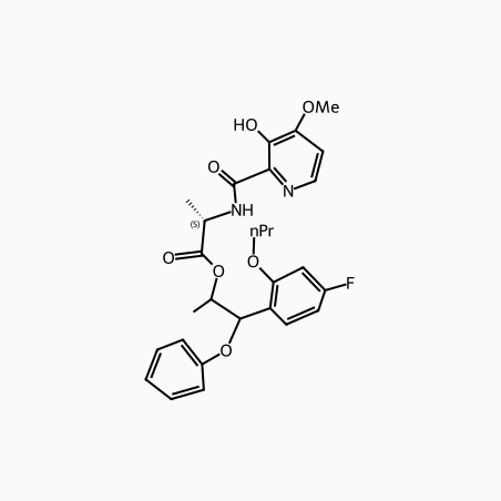 CCCOc1cc(F)ccc1C(Oc1ccccc1)C(C)OC(=O)[C@H](C)NC(=O)c1nccc(OC)c1O